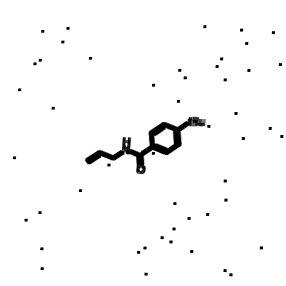 C=CCNC(=O)c1ccc(C(C)(C)C)cc1